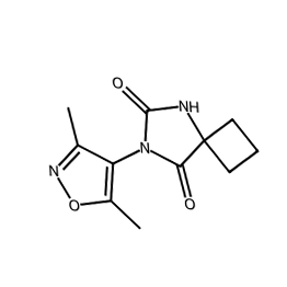 Cc1noc(C)c1N1C(=O)NC2(CCC2)C1=O